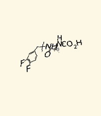 C[C@@H](NC(=O)O)C(=O)NC(C)(C)Cc1ccc(F)c(F)c1